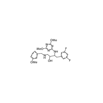 COc1cccc(CNCC(O)C(Cc2cc(F)cc(F)c2)Nc2nc(OC)nc(OC)n2)c1